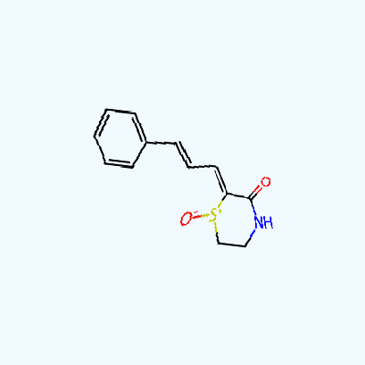 O=C1NCC[S+]([O-])/C1=C\C=C\c1ccccc1